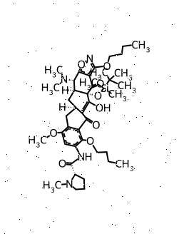 CCCCOc1noc2c1C(=O)[C@@]1(O[Si](C)(C)C(C)(C)C)C(O)=C3C(=O)c4c(c(OC)cc(NC(=O)[C@@H]5CCCN5C)c4OCCCC)C[C@H]3C[C@H]1[C@@H]2N(C)C